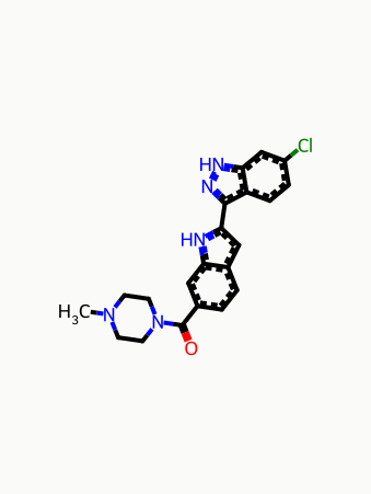 CN1CCN(C(=O)c2ccc3cc(-c4n[nH]c5cc(Cl)ccc45)[nH]c3c2)CC1